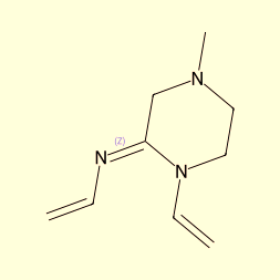 C=C/N=C1/CN(C)CCN1C=C